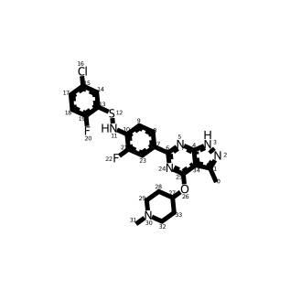 Cc1n[nH]c2nc(-c3ccc(NSc4cc(Cl)ccc4F)c(F)c3)nc(OC3CCN(C)CC3)c12